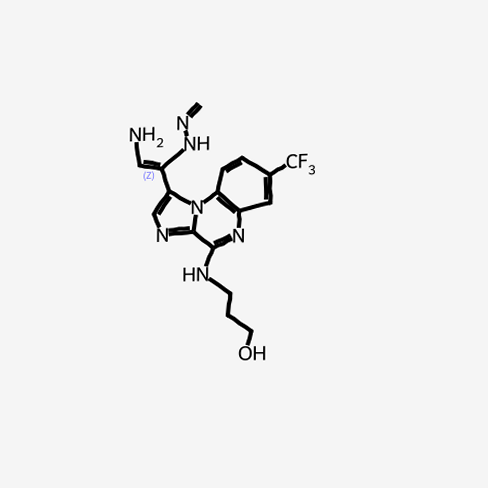 C=NN/C(=C\N)c1cnc2c(NCCCO)nc3cc(C(F)(F)F)ccc3n12